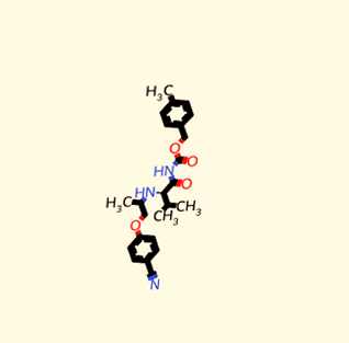 Cc1ccc(COC(=O)NC(=O)[C@@H](NC(C)COc2ccc(C#N)cc2)C(C)C)cc1